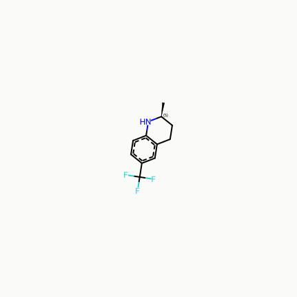 C[C@H]1CCc2cc(C(F)(F)F)ccc2N1